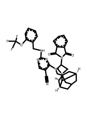 N#Cc1cnc(NCc2ccccc2OC(F)(F)F)nc1NCC12CC3C[C@H](C1)[C@H](N1CC(N4C(=O)c5ccccc5C4=O)C1)[C@@H](C3)C2